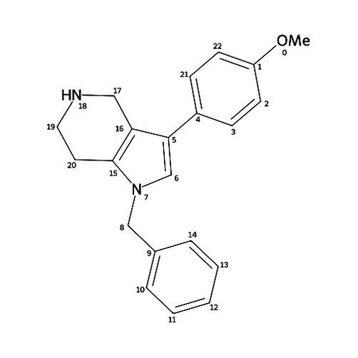 COc1ccc(-c2cn(Cc3ccccc3)c3c2CNCC3)cc1